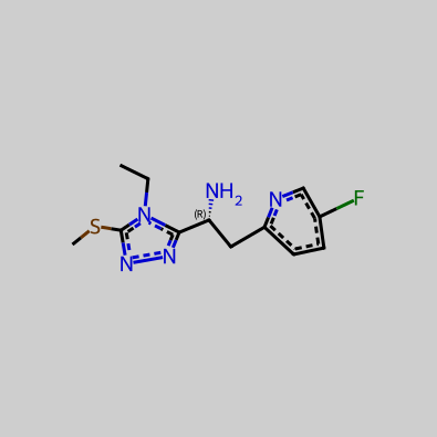 CCn1c(SC)nnc1[C@H](N)Cc1ccc(F)cn1